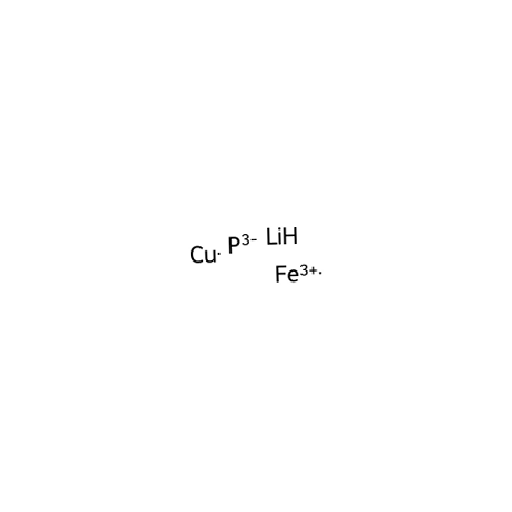 [Cu].[Fe+3].[LiH].[P-3]